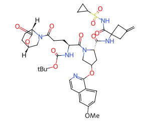 C=C1CC(NC(=O)[C@@H]2CC(Oc3nccc4cc(OC)ccc34)CN2C(=O)[C@H](CCC(=O)N2C[C@@H]3CC[C@H]2C(=O)O3)NC(=O)OC(C)(C)C)(C(=O)NS(=O)(=O)C2CC2)C1